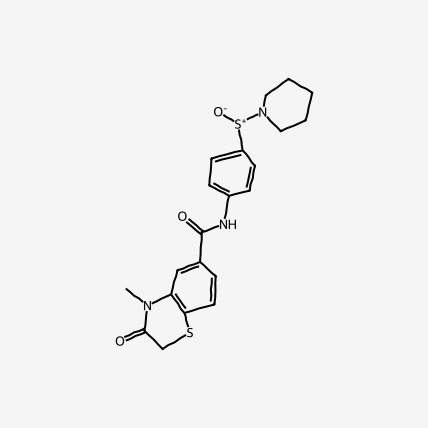 CN1C(=O)CSc2ccc(C(=O)Nc3ccc([S+]([O-])N4CCCCC4)cc3)cc21